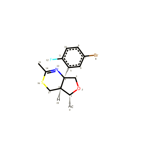 CC(=O)[C@H]1OC[C@]2(c3cc(Br)ccc3F)N=C(C)SC[C@H]12